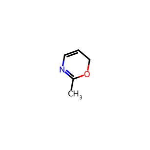 CC1=NC=CCO1